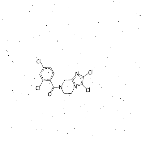 O=C(c1ccc(Cl)cc1Cl)N1CCn2c(nc(Cl)c2Cl)C1